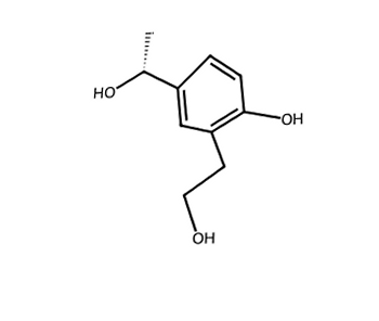 [CH2][C@@H](O)c1ccc(O)c(CCO)c1